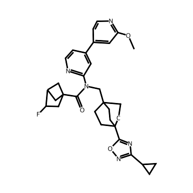 COc1cc(-c2ccnc(N(CC34CCC(c5nc(C6CC6)no5)(CC3)CC4)C(=O)C34CC(F)C(C3)C4)c2)ccn1